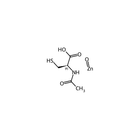 CC(=O)N[C@@H](CS)C(=O)O.[O]=[Zn]